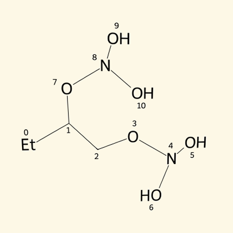 CCC(CON(O)O)ON(O)O